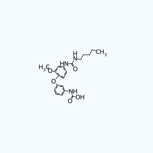 CCCCCNC(=O)Nc1ccc(Oc2cccc(NC(=O)O)c2)c(OC)c1